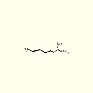 NCCCCOP(N)O